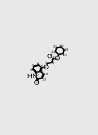 O=C(CCOc1cccc2[nH]c(=O)ccc12)OC1CCCCC1